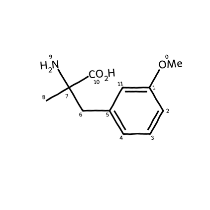 COc1cccc(CC(C)(N)C(=O)O)c1